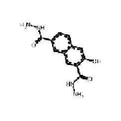 NNC(=O)c1ccc2cc(O)c(C(=O)NN)cc2c1